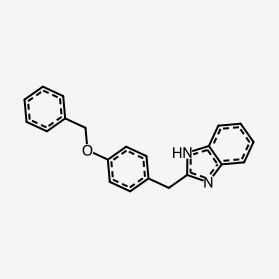 c1ccc(COc2ccc(Cc3nc4ccccc4[nH]3)cc2)cc1